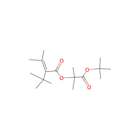 CC(C)=C(C(=O)OC(C)(C)C(=O)OC(C)(C)C)C(C)(C)C